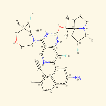 [2H]C([2H])(Oc1nc(N2CCOC[C@H]3[C@H](F)[C@H]32)c2cnc(-c3cc(N)cc4ccc(C)c(C#C)c34)c(F)c2n1)[C@@]12CCCN1[C@H](C)[C@H](F)C2